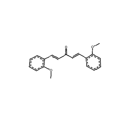 COc1ccccc1/C=C/C(=O)/C=C/c1ccccc1OC